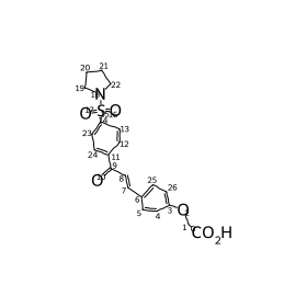 O=C(O)COc1ccc(C=CC(=O)c2ccc(S(=O)(=O)N3CCCC3)cc2)cc1